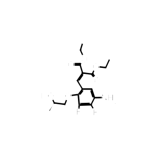 CCOC(=O)C(=Cc1cc(N)c(F)c(F)c1OC[C@@H](C)O)C(=O)OCC